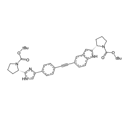 CC(C)(C)OC(=O)N1CCC[C@H]1c1cc2cc(C#Cc3ccc(-c4c[nH]c([C@@H]5CCCN5C(=O)OC(C)(C)C)n4)cc3)ccc2[nH]1